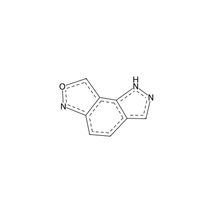 c1cc2nocc2c2[nH]ncc12